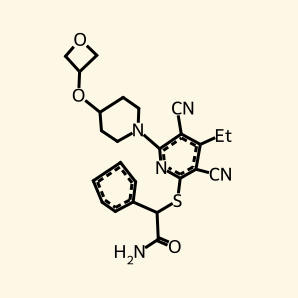 CCc1c(C#N)c(SC(C(N)=O)c2ccccc2)nc(N2CCC(OC3COC3)CC2)c1C#N